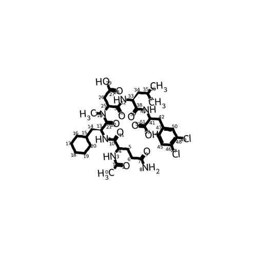 CC(=O)NC(CCC(N)=O)C(=O)N[C@@H](CC1CCCCC1)C(=O)N(C)C(CC(=O)O)C(=O)N[C@@H](CC(C)C)C(=O)NC(Cc1ccc(Cl)c(Cl)c1)C(=O)O